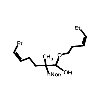 CC/C=C\CCOC(O)C(C)(CC/C=C\CC)CCCCCCCCC